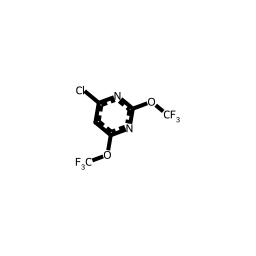 FC(F)(F)Oc1cc(Cl)nc(OC(F)(F)F)n1